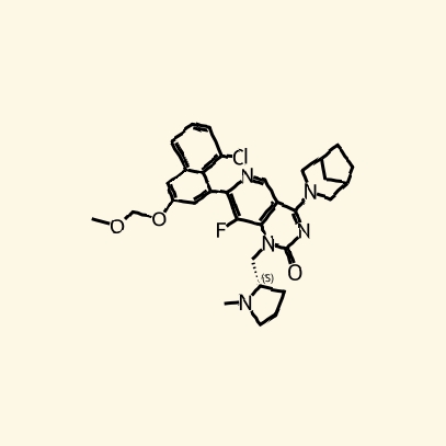 COCOc1cc(-c2ncc3c(N4CC5CCC(C5)C4)nc(=O)n(C[C@@H]4CCCN4C)c3c2F)c2c(Cl)cccc2c1